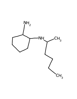 CCCCC(C)NC1CCCCC1N